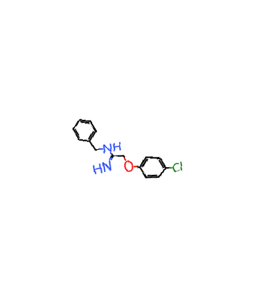 N=C(COc1ccc(Cl)cc1)NCc1ccccc1